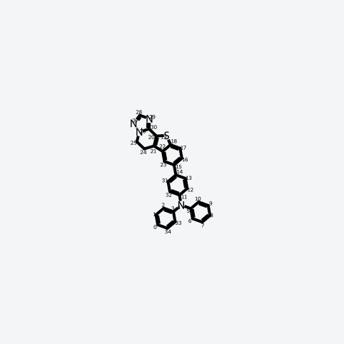 c1ccc(N(c2ccccc2)c2ccc(-c3ccc4sc5c(c4c3)CCn3ncnc3-5)cc2)cc1